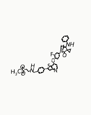 CS(=O)(=O)CCNCc1ccc(-c2cc3nccc(Oc4ccc(NC(=O)C5(C(=O)Nc6ccccc6)CC5)cc4F)c3s2)cc1